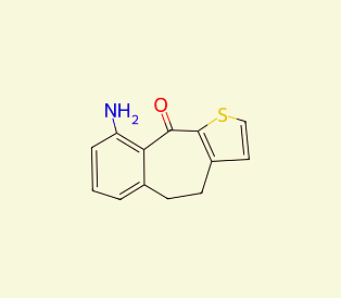 Nc1cccc2c1C(=O)c1sccc1CC2